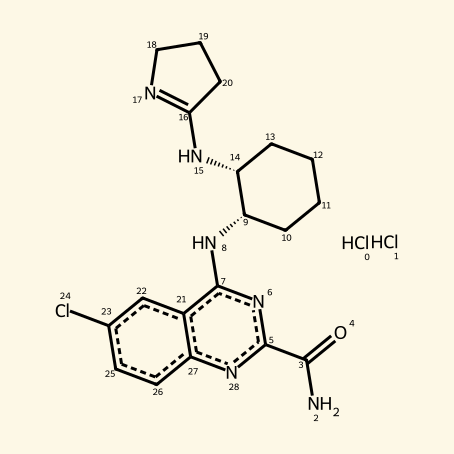 Cl.Cl.NC(=O)c1nc(N[C@H]2CCCC[C@H]2NC2=NCCC2)c2cc(Cl)ccc2n1